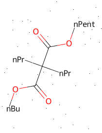 CCCCCOC(=O)C(CCC)(CCC)C(=O)OCCCC